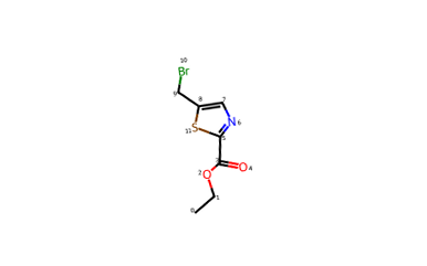 CCOC(=O)c1ncc(CBr)s1